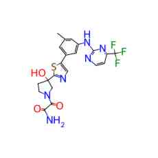 Cc1cc(Nc2nccc(C(F)(F)F)n2)cc(-c2cnc(C3(O)CCN(C(=O)C(N)=O)C3)s2)c1